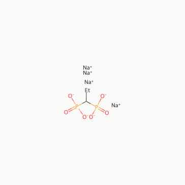 CCC(P(=O)([O-])[O-])P(=O)([O-])[O-].[Na+].[Na+].[Na+].[Na+]